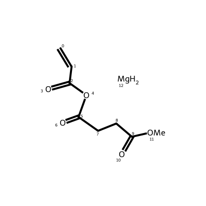 C=CC(=O)OC(=O)CCC(=O)OC.[MgH2]